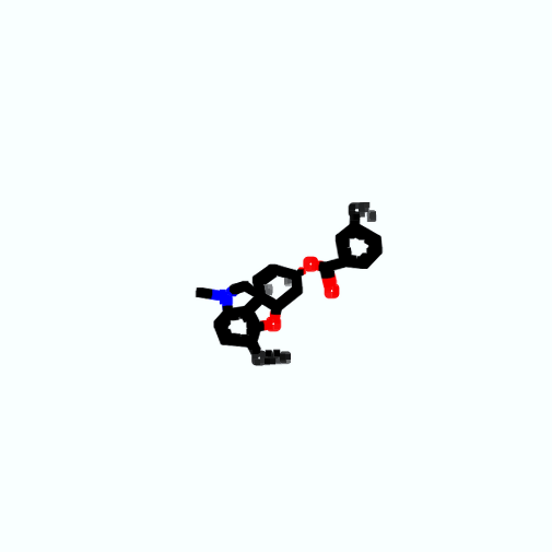 COc1ccc2c3c1OC1C[C@@H](OC(=O)c4cccc(C(F)(F)F)c4)C=C[C@@]31CCN2C